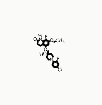 CCOc1cc(OCC2(O)CCN(c3ccc(Cl)cc3F)CC2)c2c(c1F)NC(=O)CC2